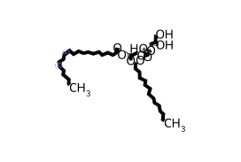 CCCCC/C=C\C/C=C\CCCCCCCCCC(=O)OC[C@H](COP(=O)(O)OC[C@@H](O)CO)OC(=O)CCCCCCCCCCCCCC